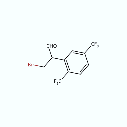 O=CC(CBr)c1cc(C(F)(F)F)ccc1C(F)(F)F